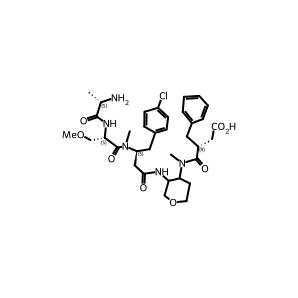 COC[C@H](NC(=O)[C@H](C)N)C(=O)N(C)[C@H](CC(=O)NC1COCCC1N(C)C(=O)[C@@H](CC(=O)O)Cc1ccccc1)Cc1ccc(Cl)cc1